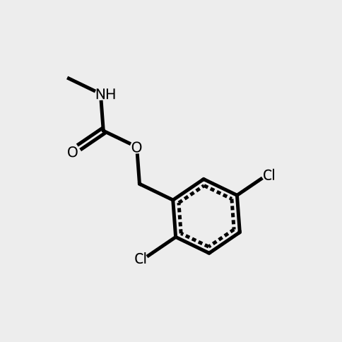 CNC(=O)OCc1cc(Cl)ccc1Cl